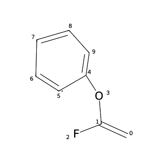 C=C(F)Oc1[c]cccc1